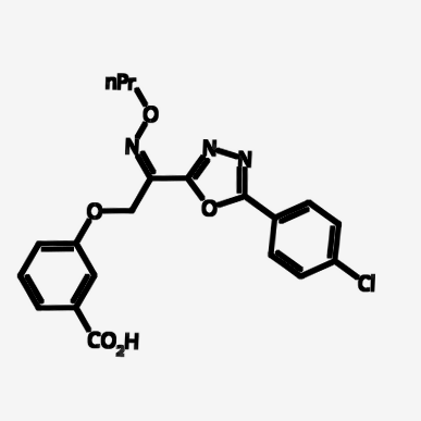 CCCON=C(COc1cccc(C(=O)O)c1)c1nnc(-c2ccc(Cl)cc2)o1